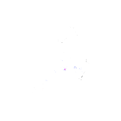 CC(C)(C)OC(=O)N1CCN(c2nc(N3C[C@H]4CC[C@@H](C3)N4C(=O)OC(C)(C)C)c3cc(Cl)c(-c4cc(O)cc5ccccc45)c(F)c3n2)CC1